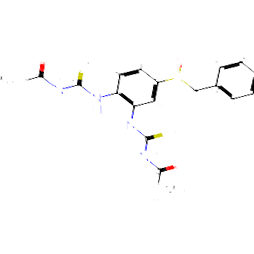 COC(=O)NC(=S)Nc1ccc([S+]([O-])Cc2ccccc2)cc1NC(=S)NC(=O)OC